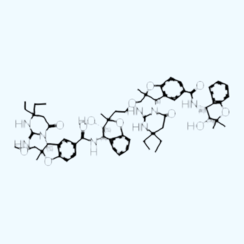 CCC1(CC)CC(=O)N([C@H]2c3cc(C(=O)N[C@@H]4c5ccccc5OC(C)(CCOCC5(C)Oc6ccc(C(=O)N[C@@H]7c8ccccc8OC(C)(C)[C@H]7O)cc6[C@@H]5N5C(=N)NC(CC)(CC)CC5=O)[C@H]4O)ccc3OC2(C)COC)C(=N)N1